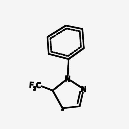 FC(F)(F)C1[C]C=NN1c1ccccc1